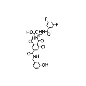 O=C(NCc1cccc(O)c1)c1cc(Cl)c(C(=O)N[C@@H](CNC(=O)c2cc(F)cc(F)c2)C(=O)O)c(Cl)c1